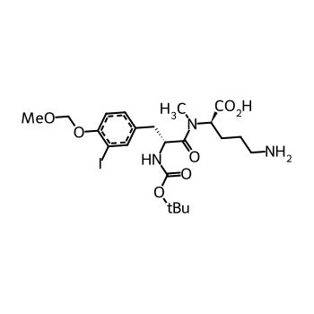 COCOc1ccc(C[C@@H](NC(=O)OC(C)(C)C)C(=O)N(C)[C@H](CCCN)C(=O)O)cc1I